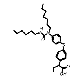 CCCCCCCN(C(=O)NCCCCCC)c1ccc(Sc2ccc(C(CC)C(=O)O)cc2)cc1